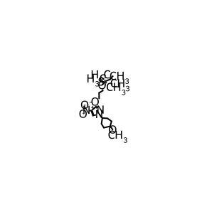 COC1CCC(n2cc([N+](=O)[O-])c(OCCCO[Si](C)(C)C(C)(C)C)n2)CC1